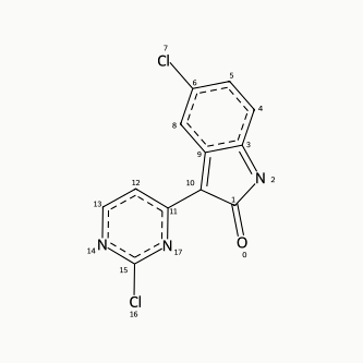 O=C1N=c2ccc(Cl)cc2=C1c1ccnc(Cl)n1